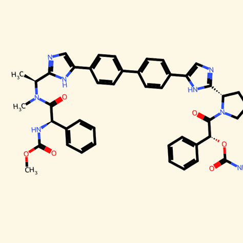 COC(=O)N[C@@H](C(=O)N(C)[C@@H](C)c1ncc(-c2ccc(-c3ccc(-c4cnc([C@@H]5CCCN5C(=O)[C@H](OC(N)=O)c5ccccc5)[nH]4)cc3)cc2)[nH]1)c1ccccc1